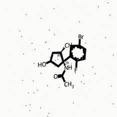 CC(=O)N[C@@]1(c2cc(Br)ccc2F)CC(O)C[C@H]1C